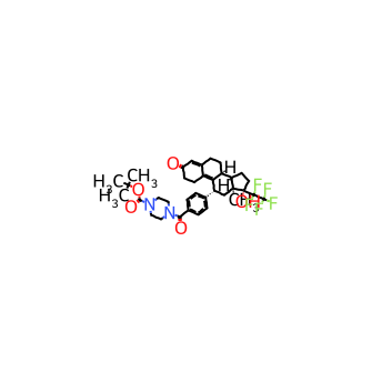 CC(C)(C)OC(=O)N1CCN(C(=O)c2ccc([C@H]3C[C@@]4(C)[C@@H](CC[C@@]4(O)C(F)(F)C(F)(F)F)[C@@H]4CCC5=CC(=O)CCC5=C43)cc2)CC1